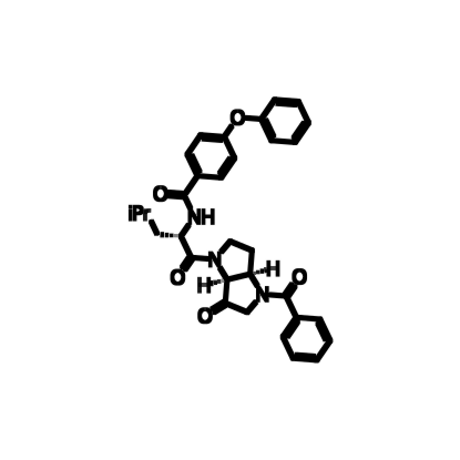 CC(C)C[C@H](NC(=O)c1ccc(Oc2ccccc2)cc1)C(=O)N1CC[C@@H]2[C@H]1C(=O)CN2C(=O)c1ccccc1